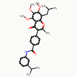 COc1c(OC)c(OC)c2c(=O)c(-c3ccc(C(=O)Nc4cccc(C(C)C)c4)cc3)c(C)oc2c1CC(C)C